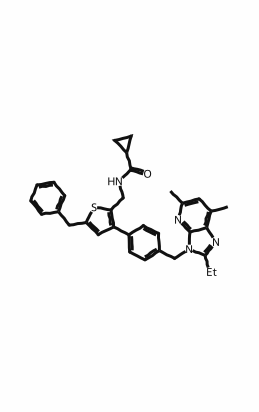 CCc1nc2c(C)cc(C)nc2n1Cc1ccc(-c2cc(Cc3ccccc3)sc2CNC(=O)C2CC2)cc1